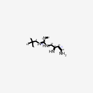 C=N/C(=N\CC(C)(C)I)NCC(=N)/C=C\N